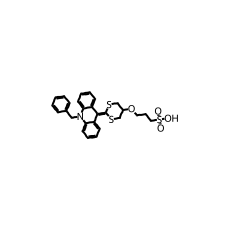 O=S(=O)(O)CCCOC1CSC(=C2c3ccccc3N(Cc3ccccc3)c3ccccc32)SC1